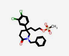 CS(=O)(=O)OCCCC1(c2ccc(Cl)c(Cl)c2)CCC(=O)N(Cc2ccccc2)C1